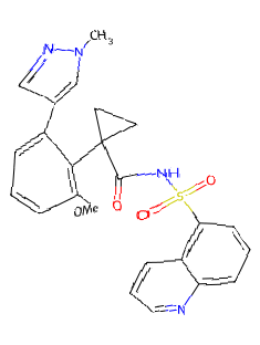 COc1cccc(-c2cnn(C)c2)c1C1(C(=O)NS(=O)(=O)c2cccc3ncccc23)CC1